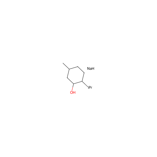 CC1CCC(C(C)C)C(O)C1.[NaH]